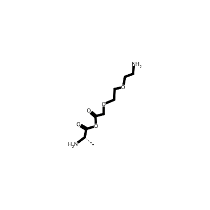 C[C@H](N)C(=O)OC(=O)COCCOCCN